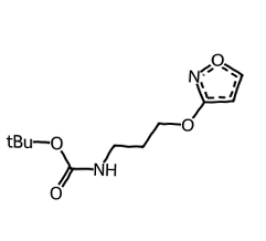 CC(C)(C)OC(=O)NCCCOc1ccon1